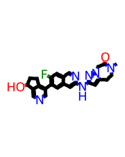 CN1CCc2cc(Nc3cc4cc(-c5cncc6c5CCC6O)c(F)cc4cn3)nn2CC1=O